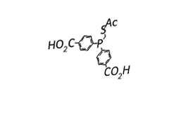 CC(=O)SCP(c1ccc(C(=O)O)cc1)c1ccc(C(=O)O)cc1